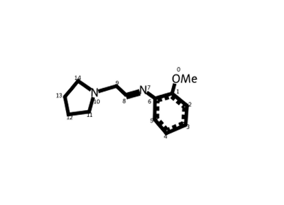 COc1ccccc1N=CCN1CCCC1